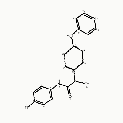 CCC(C(=O)Nc1ccc(Cl)cc1)C1CCC(Oc2ccncc2)CC1